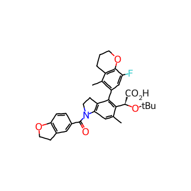 Cc1cc2c(c(-c3cc(F)c4c(c3C)CCCO4)c1[C@H](OC(C)(C)C)C(=O)O)CCN2C(=O)c1ccc2c(c1)CCO2